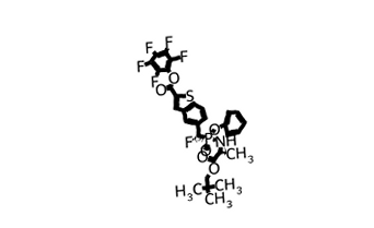 C[C@H](NP(=O)(Oc1ccccc1)[C@H](F)c1ccc2sc(C(=O)Oc3c(F)c(F)c(F)c(F)c3F)cc2c1)C(=O)OCC(C)(C)C